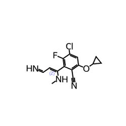 CN/C(=C\C=N)c1c(F)c(Cl)cc(OC2CC2)c1C#N